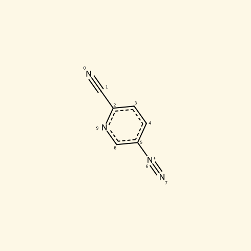 N#Cc1ccc([N+]#N)cn1